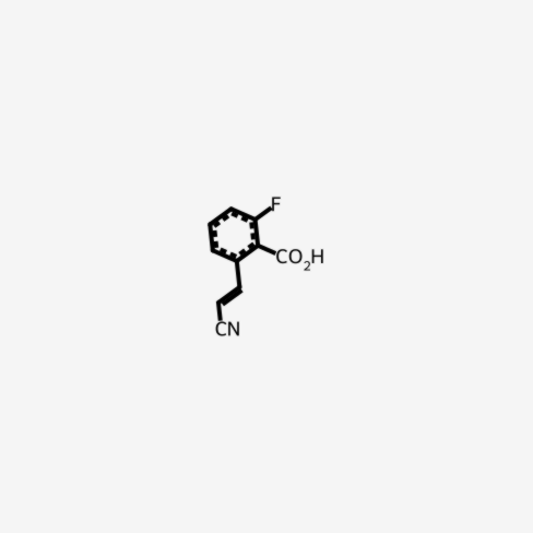 N#CC=Cc1cccc(F)c1C(=O)O